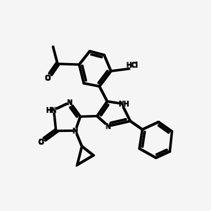 CC(=O)c1ccc(C)c(-c2[nH]c(-c3ccccc3)nc2-c2n[nH]c(=O)n2C2CC2)c1.Cl